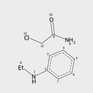 CCNc1ccccc1.NC(=O)CCl